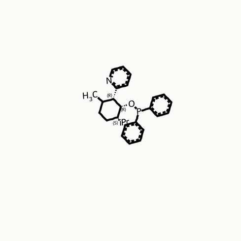 CC(C)[C@@H]1CCC(C)[C@H](c2ccccn2)[C@@H]1OP(c1ccccc1)c1ccccc1